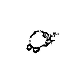 Cc1nc2cc3nn2c(c1[C@H](OC(C)(C)C)C(=O)O)N1CCC(C)(CC1)OCC=CCCCc1ccccc1-c1cccc-3c1